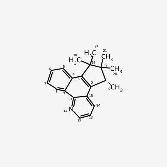 C[C@@H]1c2c(c3ccccc3c3ncccc23)C(C)(C)C1(C)C